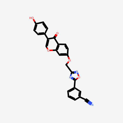 N#Cc1cccc(-c2nc(COc3ccc4c(=O)c(-c5ccc(O)cc5)coc4c3)no2)c1